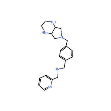 c1ccc(CNCc2ccc(CN3CC4NCCNC4C3)cc2)nc1